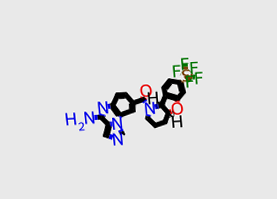 Nc1nc2ccc(C(=O)N3CCC[C@@H]4Oc5cc(S(F)(F)(F)(F)F)ccc5[C@@H]43)cc2n2cncc12